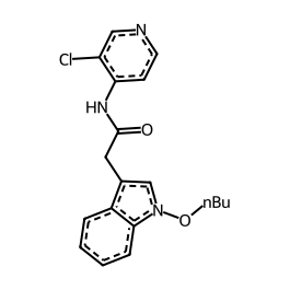 CCCCOn1cc(CC(=O)Nc2ccncc2Cl)c2ccccc21